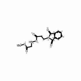 CC(C)(C)OC(=O)CNOC(=O)CCN1C(=O)c2ccccc2C1=O